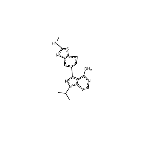 CNc1nc2cc(-c3nn(C(C)C)c4ncnc(N)c34)ccc2s1